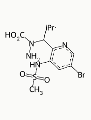 C[C](C)C(c1ncc(Br)cc1NS(C)(=O)=O)N(N)C(=O)O